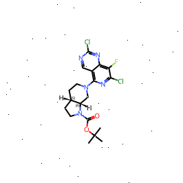 CC(C)(C)OC(=O)N1CC[C@@H]2CCN(c3nc(Cl)c(F)c4nc(Cl)ncc34)C[C@@H]21